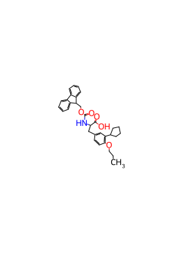 CCCOc1ccc(CC(NC(=O)OCC2c3ccccc3-c3ccccc32)C(=O)O)cc1C1CCCC1